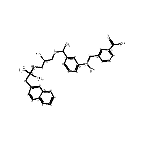 CC(OC[C@H](O)CNC(C)(C)Cc1ccc2ccccc2c1)c1cccc(N(C)Cc2cccc(C(=O)O)c2)c1